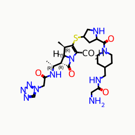 C[C@@H](NC(=O)Cn1cnnn1)[C@H]1C(=O)N2C(C(=O)O)=C(SC3CNC(C(=O)N4CCC(CNC(=O)CN)CC4)C3)[C@H](C)[C@H]12